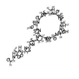 C/C=C(\NC(=O)c1csc(-c2csc(-c3ccc4c(n3)-c3csc(n3)[C@H]([C@@H](C)OC)NC(=O)c3csc(n3)[C@H](C(C)C)NC(=O)c3csc(n3)/C(=C/C)NC(=O)[C@H]([C@@H](C)O)NC(=O)c3csc-4n3)n2)n1)C(=O)NCC(C)=O